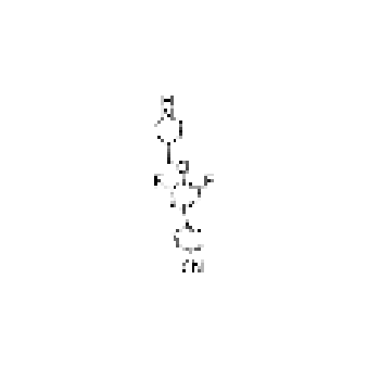 N#Cc1ccc(-c2cc(F)c(OCC3CCNCC3)c(F)c2)cc1